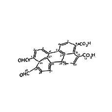 O=Cc1ccc2c3ccc(C(=O)O)c4c(C(=O)O)ccc(c5ccc(C=O)c1c25)c43